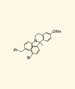 COc1ccc2c(c1)CCN(c1ccc(CC(C)C)cc1)C2(C)c1ccc(Br)cc1